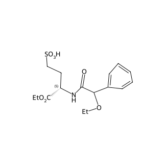 CCOC(=O)[C@H](CCS(=O)(=O)O)NC(=O)C(OCC)c1ccccc1